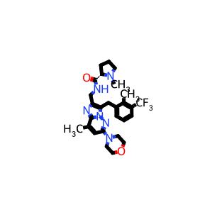 Cc1c(Cc2c(CNC(=O)[C@@H]3CCCN3C)nc3c(C)cc(N4CCOCC4)nn23)cccc1C(F)(F)F